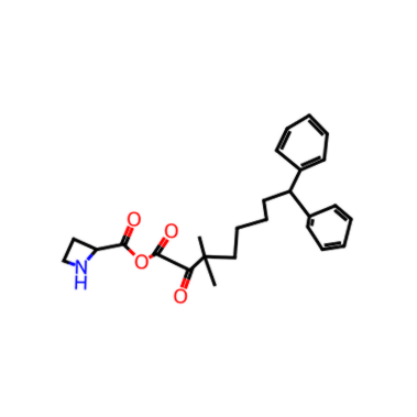 CC(C)(CCCCC(c1ccccc1)c1ccccc1)C(=O)C(=O)OC(=O)C1CCN1